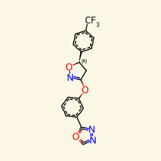 FC(F)(F)c1ccc([C@H]2CC(Oc3cccc(-c4nnco4)c3)=NO2)cc1